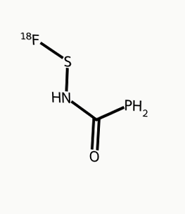 O=C(P)NS[18F]